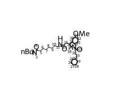 CCCCN(C)C(=O)CCCCCCCNC(=O)Cc1c(C)n(C(=O)CCc2ccccc2)c2ccc(OC)cc12